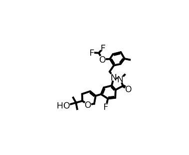 Cc1ccc(OC(F)F)c(Cn2c3cc(C4=CCC(C(C)(C)O)OC4)c(F)cc3c(=O)n2C)c1